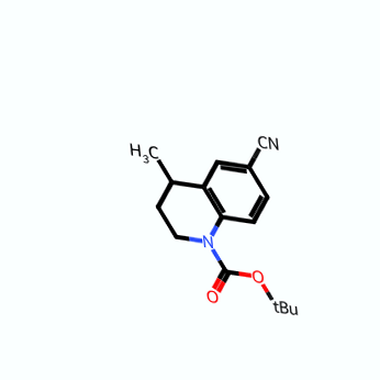 CC1CCN(C(=O)OC(C)(C)C)c2ccc(C#N)cc21